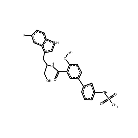 CCCOc1ccc(-c2cccc(NS(C)(=O)=O)c2)cc1C(=O)NC(CO)Cc1c[nH]c2ccc(F)cc12